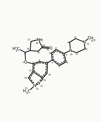 CC(Oc1cc(-c2ccc(N3CCN(C)CC3)cc2)cc2nn(C)cc12)C1CNC(=O)C1